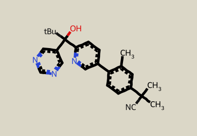 Cc1cc(C(C)(C)C#N)ccc1-c1ccc(C(O)(c2cncnc2)C(C)(C)C)nc1